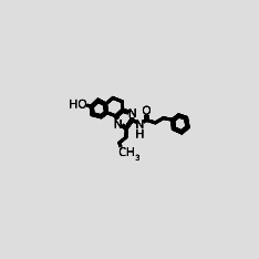 CCCc1nc2c(nc1NC(=O)CCc1ccccc1)CCc1cc(O)ccc1-2